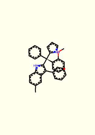 COc1ccccc1[C@@](c1ccccc1)(c1ccc[nH]1)c1[nH]c2ccc(C)cc2c1-c1ccccc1